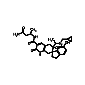 CC(CC(N)=O)NC(=O)c1cc2c([nH]c1=O)CC1(CCc3ccc(O)cc31)C(O)(C(C)N(F)CC1CC1)C2